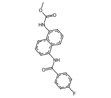 COC(=O)Nc1cccc2c(NC(=O)c3ccc(F)cc3)cccc12